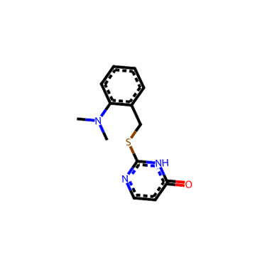 CN(C)c1ccccc1CSc1nccc(=O)[nH]1